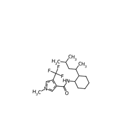 CC(C)CC(C)C1CCCCC1NC(=O)c1cn(C)cc1C(F)(F)F